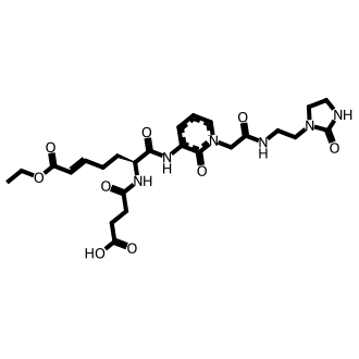 CCOC(=O)/C=C/CC[C@H](NC(=O)CCC(=O)O)C(=O)Nc1cccn(CC(=O)NCCN2CCNC2=O)c1=O